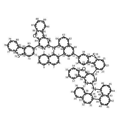 c1ccc2c3c(ccc2c1)-c1cc(-c2ccc4c(c2)sc2cccc(-c5nc(N6c7c(ccc8ccccc78)-c7cccc8cccc6c78)nc6c5oc5ccccc56)c24)cc2cccc(c12)N3c1nc(-c2ccc3sc4ccccc4c3c2)c2oc3ccccc3c2n1